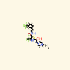 CN1CCN(CC(O)c2nc(C(F)(F)F)c(C(=O)NCCc3cccc(C(F)(F)F)c3)s2)CC1